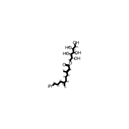 C/C(=C\C(=O)OC[C@@H](O)[C@@H](O)[C@H](O)[C@H](O)CO)CCCC(C)CCCC(C)C